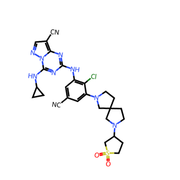 N#Cc1cc(Nc2nc(NC3CC3)n3ncc(C#N)c3n2)c(Cl)c(N2CCC3(CCN(C4CCS(=O)(=O)C4)C3)C2)c1